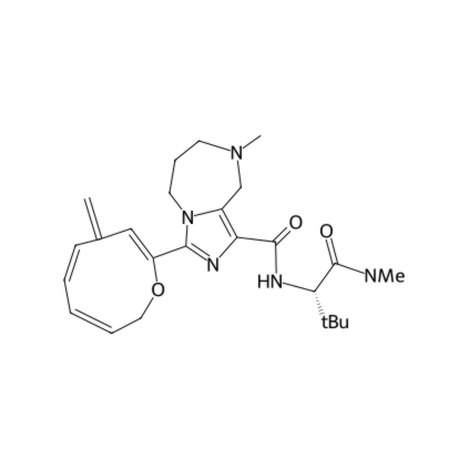 C=C1/C=C\C=C/CO/C(c2nc(C(=O)N[C@H](C(=O)NC)C(C)(C)C)c3n2CCCN(C)C3)=C\1